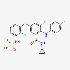 CCS(=O)(=O)Nc1cccc(Cc2cc(C(=O)NC3CC3)c(Nc3ccc(I)cc3F)c(F)c2F)c1F